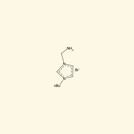 CCCC[n+]1ccn(CN)c1.[Br-]